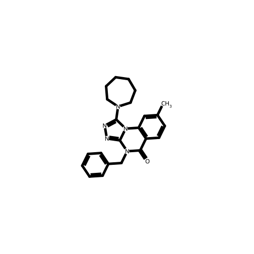 Cc1ccc2c(=O)n(Cc3ccccc3)c3nnc(N4CCCCCC4)n3c2c1